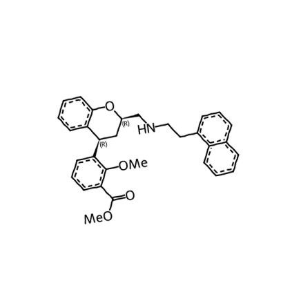 COC(=O)c1cccc([C@@H]2C[C@H](CNCCc3cccc4ccccc34)Oc3ccccc32)c1OC